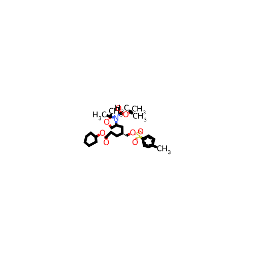 Cc1ccc(S(=O)(=O)OC[C@H](CCC(=O)OC2CCCCC2)CC2COC(C)(C)N2C(=O)OC(C)(C)C)cc1